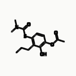 CCCc1c(SC(=O)N(C)C)ccc(OC(C)=O)c1O